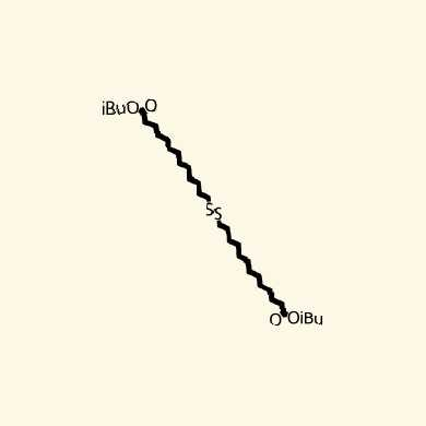 CC(C)COC(=O)CCCCCCCCCCCCSSCCCCCCCCCCCCC(=O)OCC(C)C